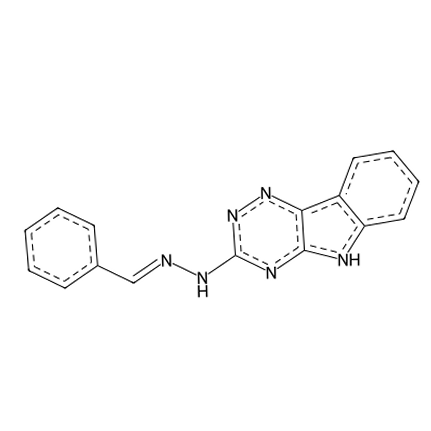 C(=N\Nc1nnc2c(n1)[nH]c1ccccc12)/c1ccccc1